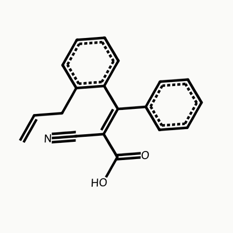 C=CCc1ccccc1C(=C(C#N)C(=O)O)c1ccccc1